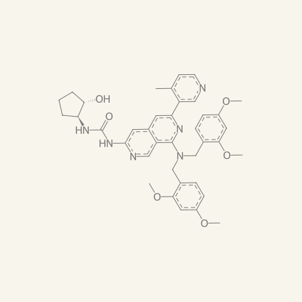 COc1ccc(CN(Cc2ccc(OC)cc2OC)c2nc(-c3cnccc3C)cc3cc(NC(=O)N[C@H]4CCC[C@@H]4O)ncc23)c(OC)c1